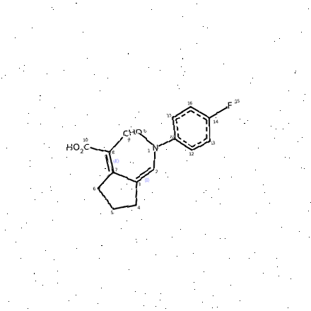 CN(/C=C1/CCC/C1=C(/C=O)C(=O)O)c1ccc(F)cc1